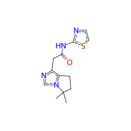 CC1(C)CCc2c(CC(=O)Nc3nccs3)ncn21